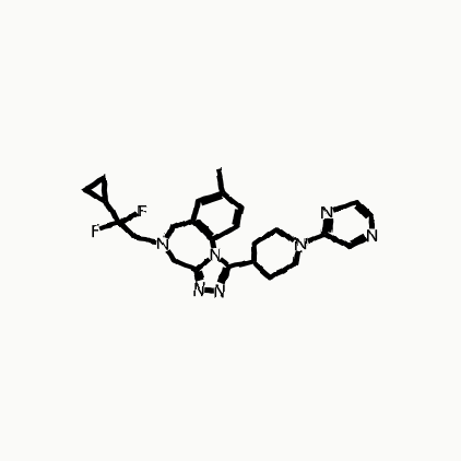 Cc1ccc2c(c1)CN(CC(F)(F)C1CC1)Cc1nnc(C3CCN(c4cnccn4)CC3)n1-2